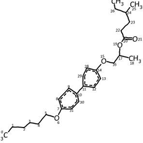 CCCCCCOc1ccc(-c2ccc(OCC(C)OC(=O)CCC(C)CC)cc2)cc1